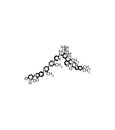 [2H]C([2H])([2H])Oc1ncc(-c2ccnc(N3CCn4c(cc5c4CC(C)(C)C5)C3=O)c2[C@H](C)O)cc1Nc1ccc(N2CCN(C3CCN(c4ccc5c(c4)CN([C@H]4CCC(=O)NC4=O)C5=O)[C@H](C)C3)C[C@@H]2C)cn1